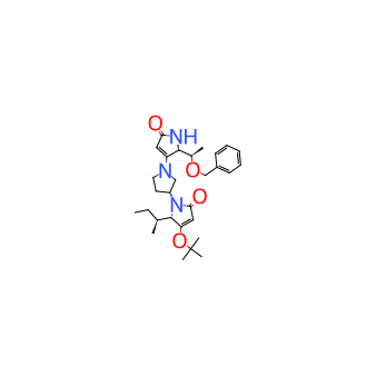 CC[C@H](C)[C@H]1C(OC(C)(C)C)=CC(=O)N1[C@H]1CCN(C2=CC(=O)N[C@H]2[C@@H](C)OCc2ccccc2)C1